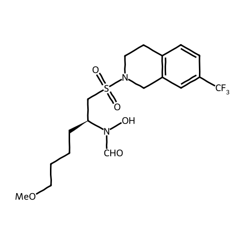 COCCCC[C@@H](CS(=O)(=O)N1CCc2ccc(C(F)(F)F)cc2C1)N(O)C=O